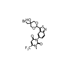 Cn1c(C(F)(F)F)cc(=O)n(-c2ccc3nsc(C4OCC(O)(CBr)CO4)c3c2)c1=O